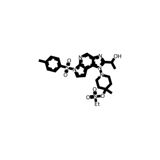 CCS(=O)(=O)OC1(C)CCN(n2c(C(C)O)nc3cnc4c(ccn4S(=O)(=O)c4ccc(C)cc4)c32)CC1